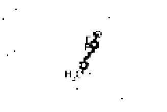 C=CC1CCC(/C=C/CCc2ccc(C3CO3)c(F)c2F)CC1